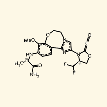 COc1c(N[C@@H](C)C(N)=O)ccc2c1OCCn1cc(N3C(=C=O)OC[C@H]3C(F)F)nc1-2